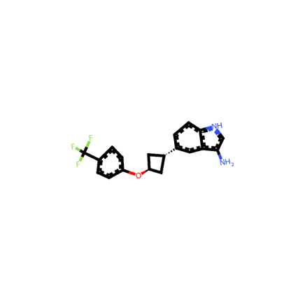 Nc1c[nH]c2ccc([C@H]3C[C@H](Oc4ccc(C(F)(F)F)cc4)C3)cc12